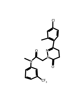 Cc1cc(Cl)ccc1C1=NN(CC(=O)N(C)c2cccc(C(F)(F)F)c2)C(=O)CC1